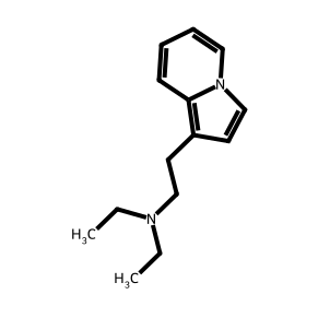 CCN(CC)CCc1ccn2ccccc12